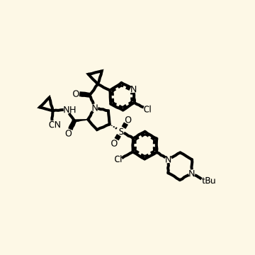 CC(C)(C)N1CCN(c2ccc(S(=O)(=O)[C@@H]3C[C@@H](C(=O)NC4(C#N)CC4)N(C(=O)C4(c5ccc(Cl)nc5)CC4)C3)c(Cl)c2)CC1